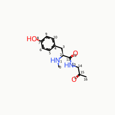 CN[C@@H](Cc1ccc(O)cc1)C(=O)NCC(C)=O